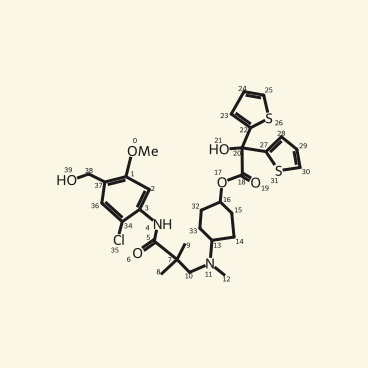 COc1cc(NC(=O)C(C)(C)CN(C)C2CCC(OC(=O)C(O)(c3cccs3)c3cccs3)CC2)c(Cl)cc1CO